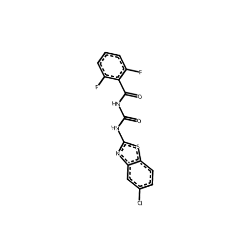 O=C(NC(=O)c1c(F)cccc1F)Nc1nc2cc(Cl)ccc2s1